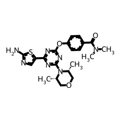 C[C@@H]1COC[C@H](C)N1c1nc(Oc2ccc(C(=O)N(C)C)cc2)nc(-c2cnc(N)s2)n1